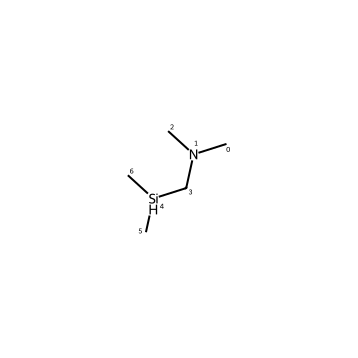 CN(C)C[SiH](C)C